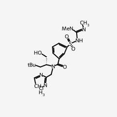 C/C=N\C(CN(C(=O)c1cccc(S(=O)(=O)N/C(=N/C)NC)c1)[C@@H](CO)CC(C)(C)C)=N/C